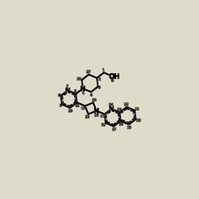 OCC1CCN(c2ncccc2C2CN(c3ccc4ccccc4n3)C2)CC1